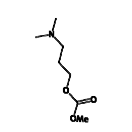 COC(=O)OCCCN(C)C